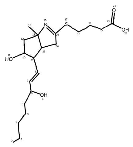 CCCCCC(O)/C=C/C1C(O)CC2(C)N=C(SCCCC(=O)O)CC12